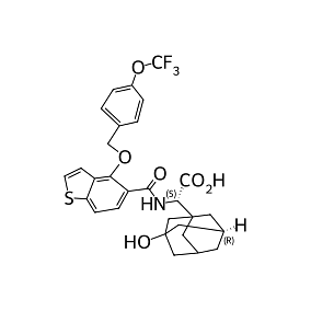 O=C(N[C@H](C(=O)O)C12CC3C[C@@H](CC(O)(C3)C1)C2)c1ccc2sccc2c1OCc1ccc(OC(F)(F)F)cc1